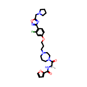 C[C@H](NC(=O)c1ccco1)C(=O)N1CCCN(CCCOc2ccc(-c3noc(CN4CCCC4)n3)c(F)c2)CC1